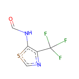 O=CNc1scnc1C(F)(F)F